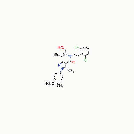 CC(C)(C)C[C@H](CO)N(CCc1c(Cl)cccc1Cl)C(=O)c1cnn([C@H]2CC[C@](C)(C(=O)O)CC2)c1C(F)(F)F